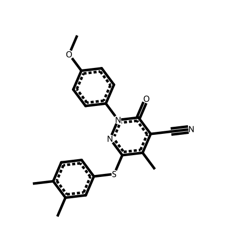 COc1ccc(-n2nc(Sc3ccc(C)c(C)c3)c(C)c(C#N)c2=O)cc1